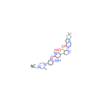 C[C@H]1CN(CC#N)CCN1c1ccc(Nc2cc(-c3ccnc(-n4ccn5c6c(cc5c4=O)CC(C)(C)C6)c3CO)cn(C)c2=O)nc1